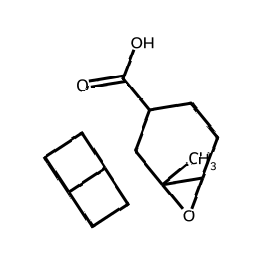 C1CC2CCC12.CC12CC(C(=O)O)CCC1O2